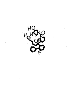 COCCCCC(O)(c1cccc(F)c1-c1ccccc1)C1CCCN(C(=O)N2CC(N)C(O)C2)C1